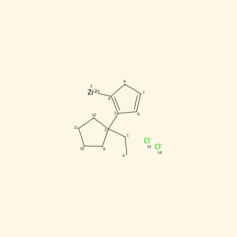 CCC1(C2=[C]([Zr+2])CC=C2)CCCC1.[Cl-].[Cl-]